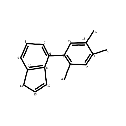 Cc1cc(C)c(-c2cccc3c2C=CC3)cc1C